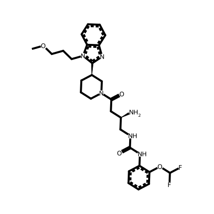 COCCCn1c([C@@H]2CCCN(C(=O)C[C@@H](N)CNC(=O)Nc3ccccc3OC(F)F)C2)nc2ccccc21